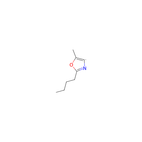 CCCCc1n[c]c(C)o1